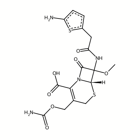 COC1(NC(=O)Cc2ccc(N)s2)C(=O)N2C(C(=O)O)=C(COC(N)=O)CS[C@H]21